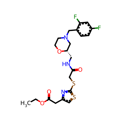 CCOC(=O)Cc1csc(SCC(=O)NC[C@H]2CN(Cc3ccc(F)cc3F)CCO2)n1